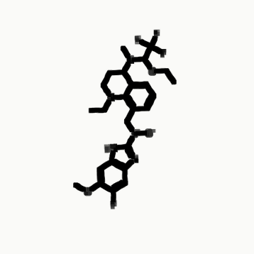 CCOC(N(C)C1CCN(CC)c2c(C[S+]([O-])c3nc4cc(F)c(OC)cc4[nH]3)cccc21)C(F)(F)F